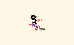 CC(C)(C)OC(=O)NCC(CO)C(O)c1ccccc1